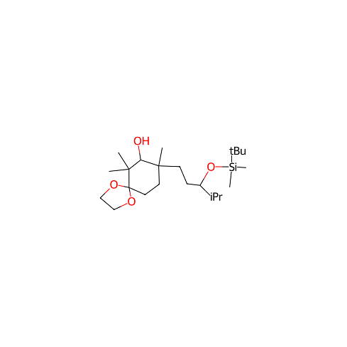 CC(C)C(CCC1(C)CCC2(OCCO2)C(C)(C)C1O)O[Si](C)(C)C(C)(C)C